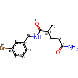 C[C@@H](CCC(N)=O)C(=O)NCc1cccc(Br)c1